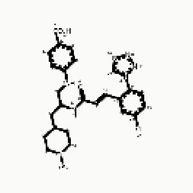 CC(=O)N1CCC(CC(CNc2ccc(C(=O)O)cc2)NC(=O)/C=C/c2cc(Cl)ccc2-n2cnnn2)CC1